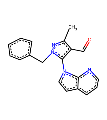 Cc1nn(Cc2ccccc2)c(-n2ccc3cccnc32)c1C=O